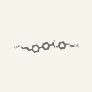 CCOc1ccc(OC(=O)c2ccc(C3CCC(/C=C/COC)CC3)cc2)cc1